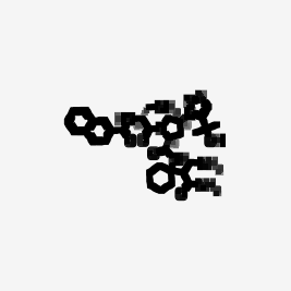 CC(C)(O)c1cnnn1[C@H]1C[C@@H](C(=O)NC2(C(CN)C(N)=O)CCCCC2)N(C(=O)[C@@H](CN)NC(=O)c2ccc3ccccc3c2)C1